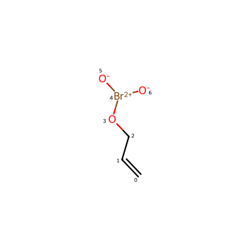 C=CCO[Br+2]([O-])[O-]